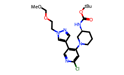 COCOCCn1cc(-c2cnc(Cl)cc2N2CCC[C@H](NC(=O)OC(C)(C)C)C2)cn1